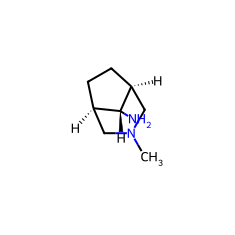 CN1C[C@H]2CC[C@@H](C1)[C@@H]2N